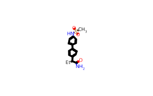 CCC(C(N)=O)c1ccc(-c2ccc(NS(C)(=O)=O)cc2)cc1